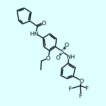 CCOc1cc(NC(=O)c2ccccc2)ccc1S(=O)(=O)Nc1cccc(OC(F)(F)F)c1